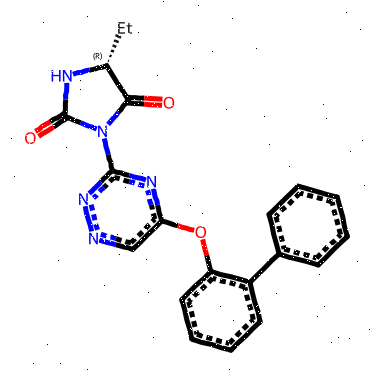 CC[C@H]1NC(=O)N(c2nncc(Oc3ccccc3-c3ccccc3)n2)C1=O